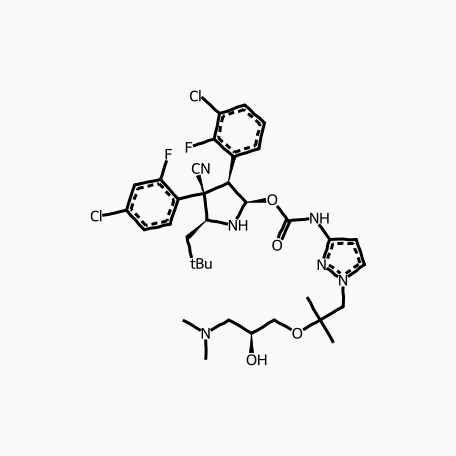 CN(C)C[C@H](O)COC(C)(C)Cn1ccc(NC(=O)O[C@H]2N[C@@H](CC(C)(C)C)[C@](C#N)(c3ccc(Cl)cc3F)[C@H]2c2cccc(Cl)c2F)n1